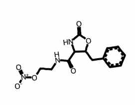 O=C1NC(C(=O)NCCO[N+](=O)[O-])C(Cc2ccccc2)O1